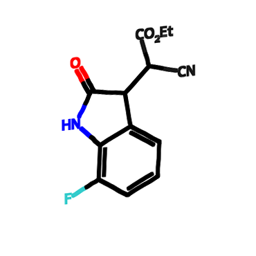 CCOC(=O)C(C#N)C1C(=O)Nc2c(F)cccc21